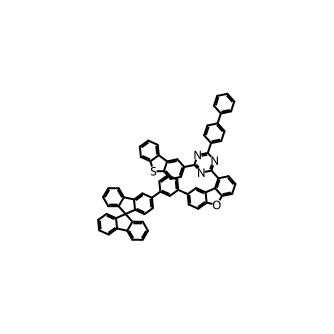 c1ccc(-c2ccc(-c3nc(-c4ccc5sc6ccccc6c5c4)nc(-c4cccc5oc6ccc(-c7cccc(-c8ccc9c(c8)-c8ccccc8C98c9ccccc9-c9ccccc98)c7)cc6c45)n3)cc2)cc1